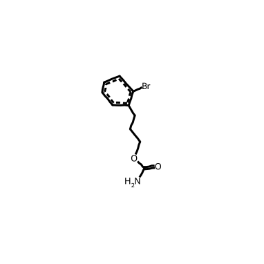 NC(=O)OCCCc1ccccc1Br